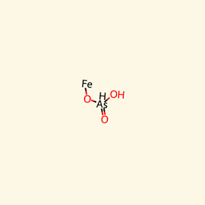 O=[AsH](O)[O][Fe]